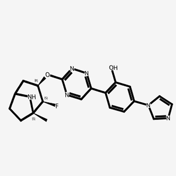 C[C@]12CCC(C[C@@H](Oc3ncc(-c4ccc(-n5ccnc5)cc4O)nn3)[C@H]1F)N2